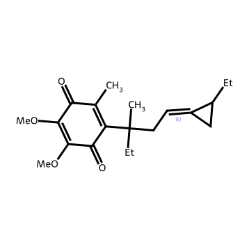 CCC1C/C1=C\CC(C)(CC)C1=C(C)C(=O)C(OC)=C(OC)C1=O